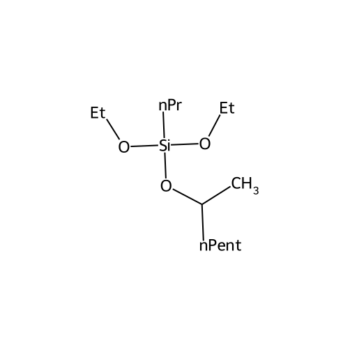 CCCCCC(C)O[Si](CCC)(OCC)OCC